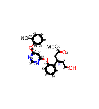 COC(=O)C/C(=C/CO)c1ccccc1Oc1cc(Oc2ccccc2C#N)ncn1